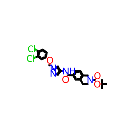 CC(C)(C)OC(=O)N1CCc2cc(C(=O)Nc3cnn(COc4ccc(Cl)c(Cl)c4)c3)ccc2C1